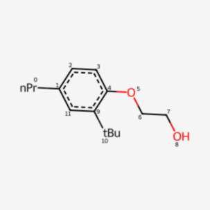 CCCc1ccc(OCCO)c(C(C)(C)C)c1